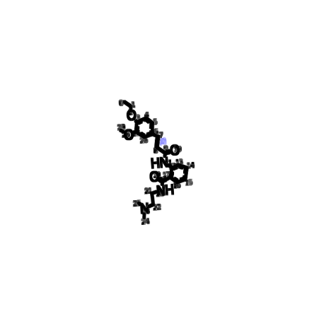 CCOc1ccc(/C=C/C(=O)Nc2ccccc2C(=O)NCCN(C)C)cc1OC